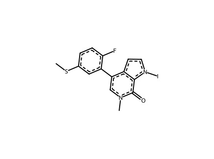 CSc1ccc(F)c(-c2cn(C)c(=O)c3c2ccn3I)c1